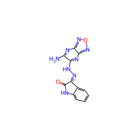 Nc1nc2nonc2nc1N/N=C1\C(=O)Nc2ccccc21